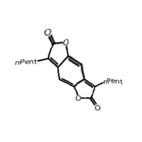 CCCCCC1=c2cc3c(cc2OC1=O)=C(CCCCC)C(=O)O3